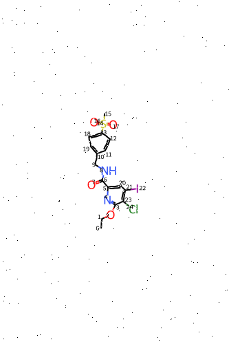 CCOc1nc(C(=O)NCc2ccc(S(C)(=O)=O)cc2)cc(I)c1Cl